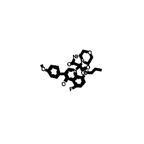 CCCOc1ccc(F)c2c(=O)c(-c3ccc(OC)cc3)cn(C(C(N)=O)(C(=O)O)N3CCOCC3)c12